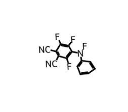 N#Cc1c(F)c(F)c(N(F)c2ccccc2)c(F)c1C#N